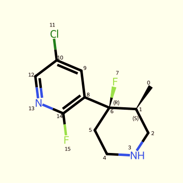 C[C@H]1CNCC[C@]1(F)c1cc(Cl)cnc1F